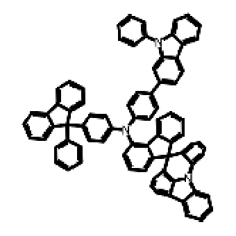 c1ccc(-n2c3ccccc3c3ccc(-c4ccc(N(c5ccc(C6(c7ccccc7)c7ccccc7-c7ccccc76)cc5)c5cccc6c5-c5ccccc5C65c6ccccc6-n6c7ccccc7c7cccc5c76)cc4)cc32)cc1